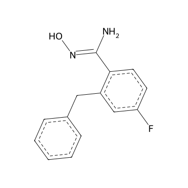 NC(=NO)c1ccc(F)cc1Cc1ccccc1